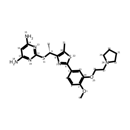 COc1ccc(-c2nc([C@@H](C)Sc3nc(N)cc(N)n3)c(C)s2)cc1OCCN1CCCC1